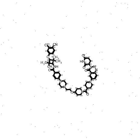 CC1(C)C(NC(=O)c2ccc(N3CCN(CCOC4CCN(C(=O)C5CCN(c6ccc7nnn(C8CCC(=O)NC8=O)c(=O)c7c6)CC5)CC4)CC3)cc2)C(C)(C)C1Oc1ccc(C#N)c(Cl)c1